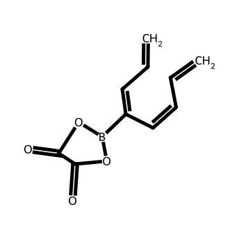 C=C/C=C\C(=C/C=C)B1OC(=O)C(=O)O1